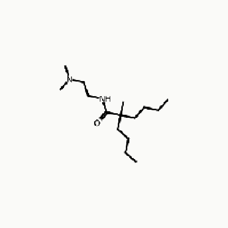 CCCCC(C)(CCCC)C(=O)NCCN(C)C